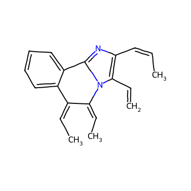 C=Cc1c(/C=C\C)nc2c3ccccc3c(=C/C)/c(=C\C)n12